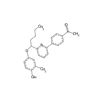 CCCCC(Oc1ccc(O)c(C)c1)c1cccc(-c2ccc(C(C)=O)cc2)n1